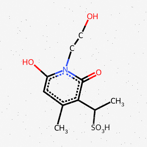 Cc1cc(O)n(CCO)c(=O)c1C(C)S(=O)(=O)O